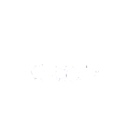 COC(=O)c1ccc2nc(-c3ccc(Cl)cc3)c(C)n2c1